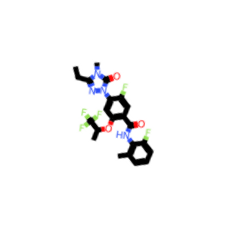 CCc1nn(-c2cc(OC(C)C(F)(F)F)c(C(=O)Nc3c(C)cccc3F)cc2F)c(=O)n1C